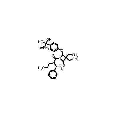 CCCN(C(=O)N1C(=O)C(CC)(CC)[C@@H]1Oc1ccc(C(O)(O)[PH2]=O)cc1)[C@H](C)c1ccccc1